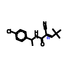 CC(NC(=O)/C(C#N)=C/C(C)(C)C)c1ccc(Cl)cc1